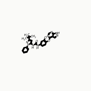 CC(C)(C)c1cc(NC(=O)Nc2ccc(Oc3ncnc4[nH]ncc34)c(Cl)c2)n(-c2ccccc2)n1